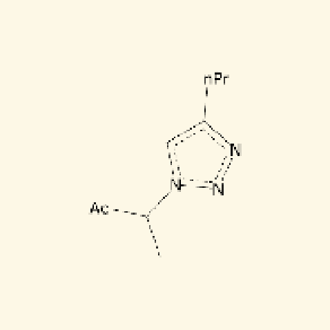 CCCc1cn(C(C)C(C)=O)nn1